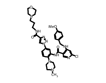 COc1ccc(CNc2cc(Cl)ncc2C(=O)Nc2cc(-n3cc(C(=O)NCCCN4CCOCC4)nn3)ccc2N2CCN(C)CC2)cc1